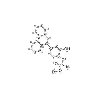 CCOP(=O)(CC)Oc1ccc(-c2cc3ccccc3c3ccccc23)cc1O